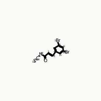 O=C(C=Cc1cc(Br)cc(Br)c1)N=C=S